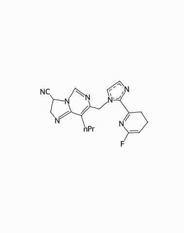 CCCC1=C(Cn2ccnc2C2=NC(F)=CCC2)N=CN2C1=NCC2C#N